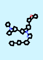 c1ccc(-c2ccc(-c3cccc(-c4cccc(-n5c6ccc(-c7ccc8oc9ccccc9c8c7)cc6c6cc(-c7ccc8c(c7)c7ccccc7n8-c7ccccc7)ccc65)n4)c3)cc2)cc1